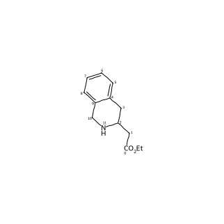 CCOC(=O)CC1Cc2ccccc2CN1